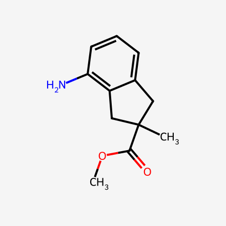 COC(=O)C1(C)Cc2cccc(N)c2C1